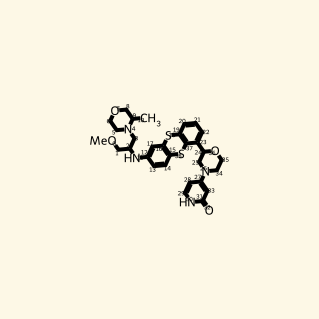 COCC(CN1CCOCC1C)Nc1ccc2c(c1)Sc1cccc(C3CN(c4cc[nH]c(=O)c4)CCO3)c1S2